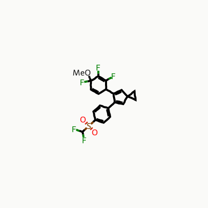 COC1(F)C=CC(C2=CC3(C=C2c2ccc(S(=O)(=O)C(F)F)cc2)CC3)C(F)=C1F